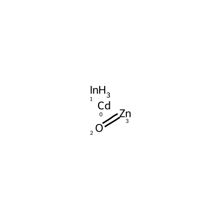 [Cd].[InH3].[O]=[Zn]